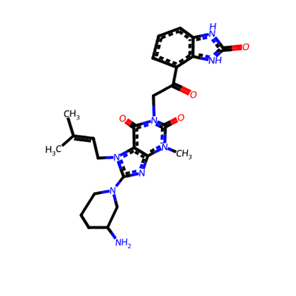 CC(C)=CCn1c(N2CCCC(N)C2)nc2c1c(=O)n(CC(=O)c1cccc3[nH]c(=O)[nH]c13)c(=O)n2C